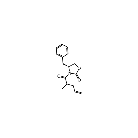 C=CCC(C)C(=O)N1C(=O)OC[C@@H]1Cc1ccccc1